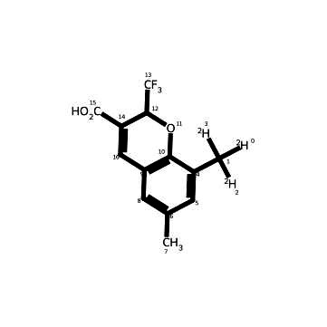 [2H]C([2H])([2H])c1cc(C)cc2c1OC(C(F)(F)F)C(C(=O)O)=C2